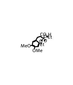 CCOP(=O)(OCC)C(Cc1ccc(OC)c(OC)c1)C(=O)O